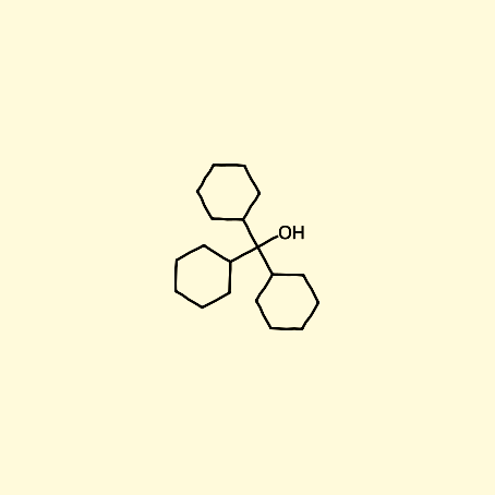 OC(C1CCCCC1)(C1CCCCC1)C1CCCCC1